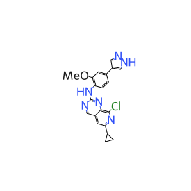 COc1cc(-c2cn[nH]c2)ccc1Nc1ncc2cc(C3CC3)nc(Cl)c2n1